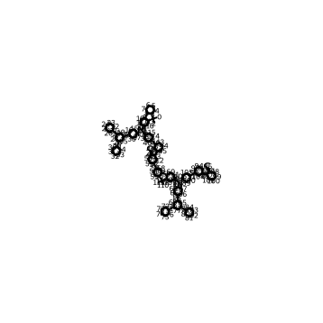 CC1(C)c2ccccc2-c2ccc(N(c3ccc(-c4cc(-c5ccccc5)cc(-c5ccccc5)c4)cc3)c3ccc(-c4cccc5c4sc4ccc(-c6ccc7c(c6)-c6ccc(N(c8ccc(-c9cc(-c%10ccccc%10)cc(-c%10ccccc%10)c9)cc8)c8ccc(-c9ccc%10sc%11ccccc%11c%10c9)cc8)cc6C7(C)C)cc45)cc3)cc21